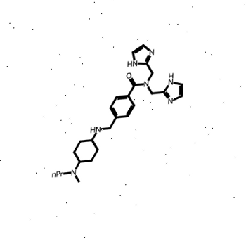 CCCN(C)C1CCC(NCc2ccc(C(=O)N(Cc3ncc[nH]3)Cc3ncc[nH]3)cc2)CC1